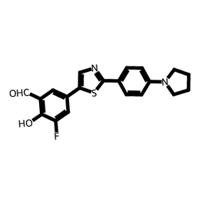 O=Cc1cc(-c2cnc(-c3ccc(N4CCCC4)cc3)s2)cc(F)c1O